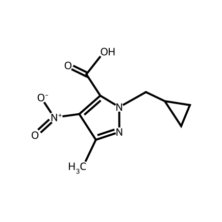 Cc1nn(CC2CC2)c(C(=O)O)c1[N+](=O)[O-]